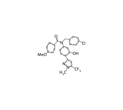 COc1ccc(C(=O)N(Cc2ccc(Cl)cc2)c2ccc(-c3cc(C(F)(F)F)n(C)n3)c(O)c2)cc1